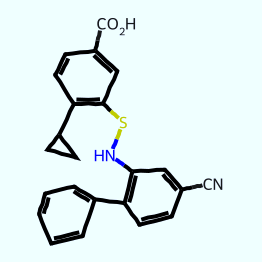 N#Cc1ccc(-c2ccccc2)c(NSc2cc(C(=O)O)ccc2C2CC2)c1